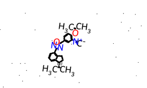 [C-]#[N+]c1cc(-c2nc(-c3cccc4c3CC[C@H]4C(C)C)no2)ccc1OC(C)C